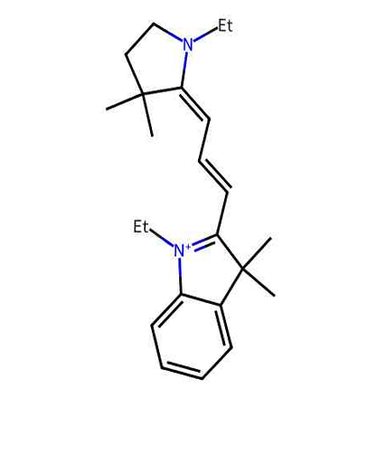 CCN1CCC(C)(C)/C1=C\C=C\C1=[N+](CC)c2ccccc2C1(C)C